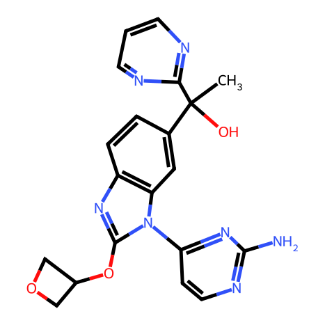 CC(O)(c1ccc2nc(OC3COC3)n(-c3ccnc(N)n3)c2c1)c1ncccn1